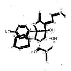 C=C1O[C@@]2(c3ccc(C#N)cc3)[C@H](c3ccccc3)[C@@H](C(=O)N(C)C)[C@@H](O)[C@@]2(O)/C1=C/C=N\C